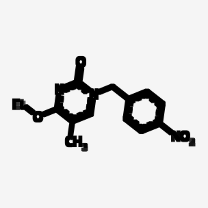 CCOc1nc(=O)n(Cc2ccc([N+](=O)[O-])cc2)cc1C